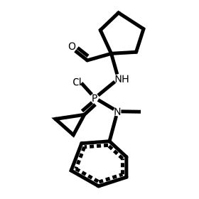 CN(c1ccccc1)P(Cl)(NC1(C=O)CCCC1)=C1CC1